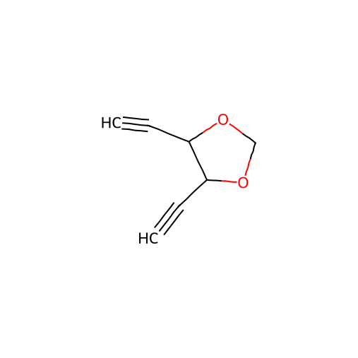 C#CC1OCOC1C#C